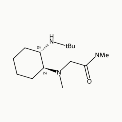 CNC(=O)CN(C)[C@H]1CCCC[C@@H]1NC(C)(C)C